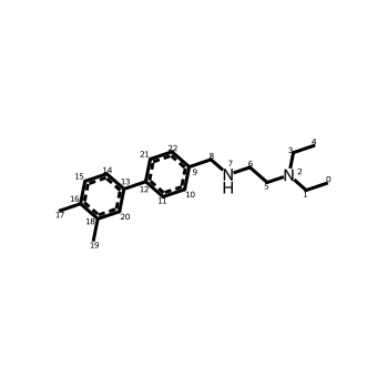 CCN(CC)CCNCc1ccc(-c2ccc(C)c(C)c2)cc1